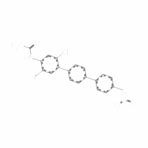 O=C(Nc1cc(Cl)c(-c2ccc(-c3ccc(C[SH](=O)=O)cc3)cc2)cc1I)C(F)(F)F